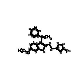 COc1ccc2c(c1)CC(CCN1CCC(F)C1)=C2C(C)c1cnccn1